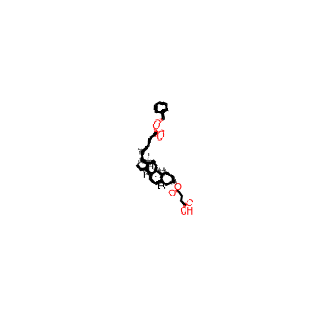 C[C@H](CCC(=O)OCc1ccccc1)[C@H]1CC[C@H]2[C@@H]3CC[C@@H]4C[C@@H](OC(=O)CCC(=O)O)CC[C@]4(C)[C@H]3CC[C@]12C